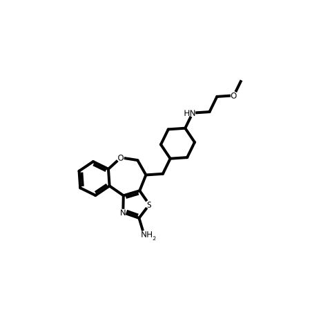 COCCNC1CCC(CC2COc3ccccc3-c3nc(N)sc32)CC1